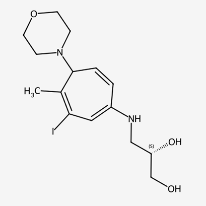 CC1=C(I)C=C(NC[C@H](O)CO)C=CC1N1CCOCC1